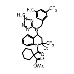 CCC1(C(F)(F)F)CC(N(Cc2cc(C(F)(F)F)cc(C(F)(F)F)c2)c2nnn(C)n2)c2ccccc2N1C(=O)C1(C(=O)OC)CCCCC1